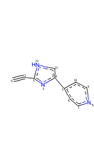 C#Cc1nc(-c2ccncc2)c[nH]1